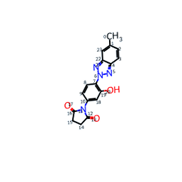 Cc1ccc2nn(-c3ccc(N4C(=O)CCC4=O)cc3O)nc2c1